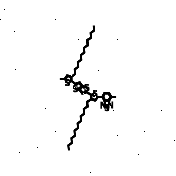 CCCCCCCCCCCCCCc1cc(C)sc1-c1cc2sc(-c3sc(-c4ccc(C)c5nsnc45)cc3CCCCCCCCCCCCCC)cc2s1